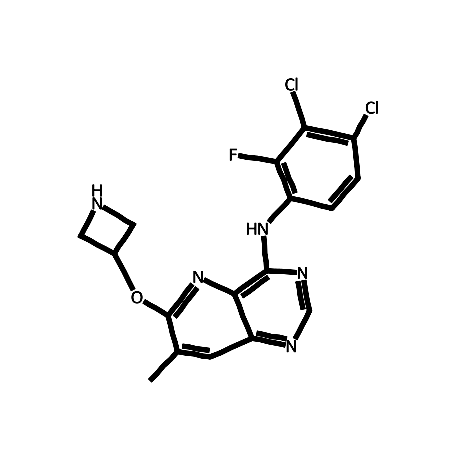 Cc1cc2ncnc(Nc3ccc(Cl)c(Cl)c3F)c2nc1OC1CNC1